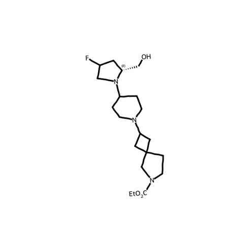 CCOC(=O)N1CCC2(CC(N3CCC(N4CC(F)C[C@@H]4CO)CC3)C2)C1